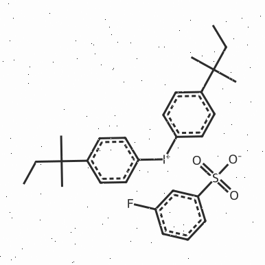 CCC(C)(C)c1ccc([I+]c2ccc(C(C)(C)CC)cc2)cc1.O=S(=O)([O-])c1cccc(F)c1